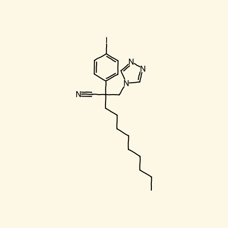 CCCCCCCCCC(C#N)(Cn1cnnc1)c1ccc(I)cc1